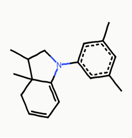 Cc1cc(C)cc(N2CC(C)C3(C)CC=CC=C23)c1